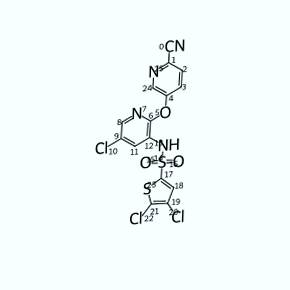 N#Cc1ccc(Oc2ncc(Cl)cc2NS(=O)(=O)c2cc(Cl)c(Cl)s2)cn1